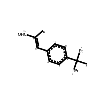 CCCC(C)(CC)c1ccc(/C=C(\C)C=O)cc1